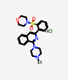 CCN1CCN(c2nc(-c3ccccc3S(=O)(=O)N3CCOCC3)cc3ccccc23)CC1.Cl